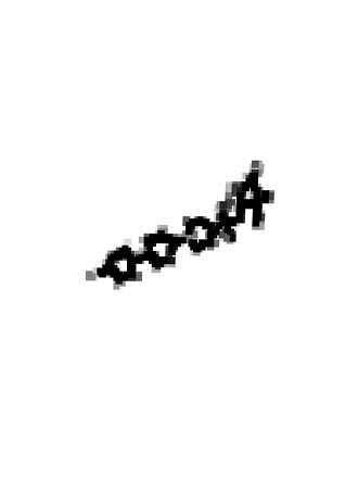 C[C@]1(CS(=O)(=O)N2CCN(c3ccc(-c4ccc(F)cc4)cn3)CC2)NC(=O)NC1=O